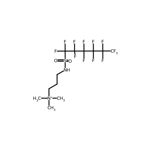 C[N+](C)(C)CCCNS(=O)(=O)C(F)(F)C(F)(F)C(F)(F)C(F)(F)C(F)(F)C(F)(F)F